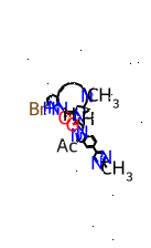 CC(=O)c1nn(CC(=O)N2[C@H]3C[C@]4(C[C@@H]24)CN(C)CCCCC=Cc2ccc(Br)nc2NC3=O)c2ccc(-c3cnc(C)nc3)cc12